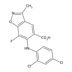 Cc1noc2c(F)c(Nc3ccc(Cl)cc3Cl)c(C(=O)O)cc12